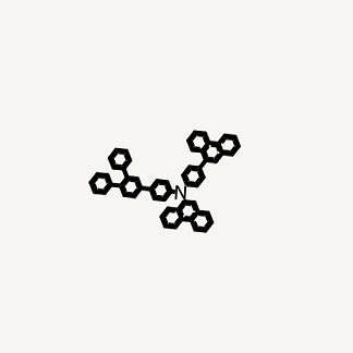 c1ccc(-c2ccc(-c3ccc(N(c4ccc(-c5cc6ccccc6c6ccccc56)cc4)c4cc5ccccc5c5ccccc45)cc3)cc2-c2ccccc2)cc1